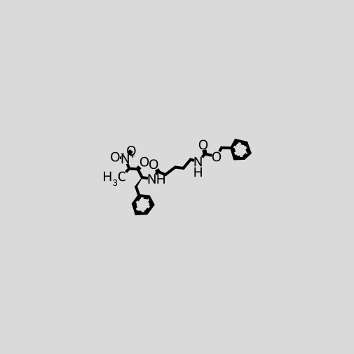 CC(C(=O)[C@H](Cc1ccccc1)NC(=O)CCCCNC(=O)OCc1ccccc1)[N+](=O)[O-]